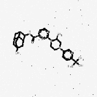 CC1CN(c2ccc(C(C)(C)O)nc2)CCN1c1nccc(C(=O)NC2C3CC4CC2CC(O)(C4)C3)n1